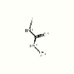 CNC(=O)NI